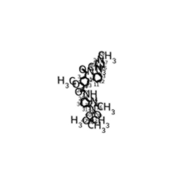 COc1cc(C(=O)N(C)c2ccccc2N2CCN(C)CC2)ccc1C(=O)Nc1cccc2c1nc(C)n2C(=O)OC(C)(C)C